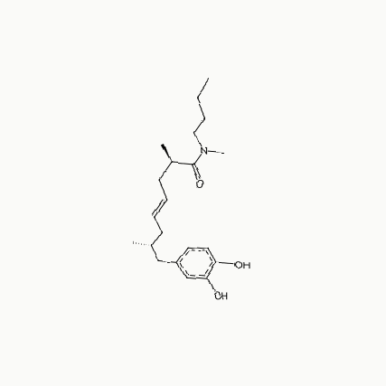 CCCCN(C)C(=O)[C@H](C)C/C=C/C[C@@H](C)Cc1ccc(O)c(O)c1